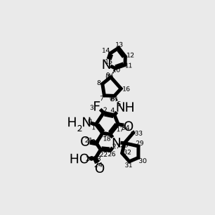 Nc1c(F)c(N[C@@H]2CC[C@H](c3ccccn3)C2)c2c3c1c(=O)c(C(=O)O)cn3C1(CCCC1)CO2